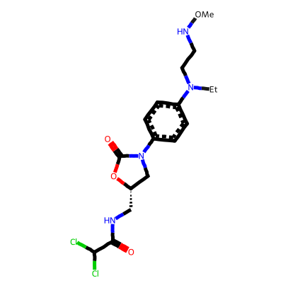 CCN(CCNOC)c1ccc(N2C[C@H](CNC(=O)C(Cl)Cl)OC2=O)cc1